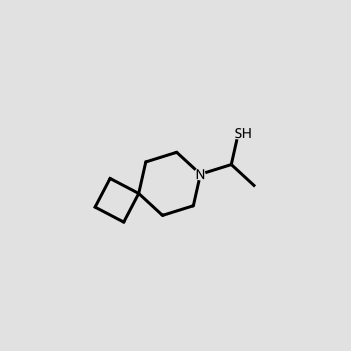 CC(S)N1CCC2(CCC2)CC1